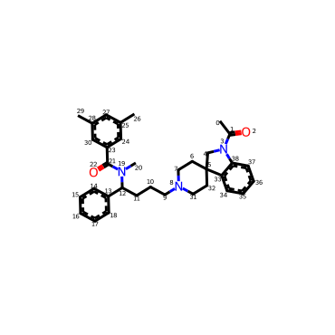 CC(=O)N1CC2(CCN(CCCC(c3ccccc3)N(C)C(=O)c3cc(C)cc(C)c3)CC2)c2ccccc21